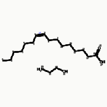 CCCCCC/C=C\CCCCCCCC(=O)O.NCCO